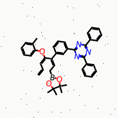 C=C/C=C(Oc1ccccc1C)\C(=C/CB1OC(C)(C)C(C)(C)O1)c1cccc(-c2nc(-c3ccccc3)nc(-c3ccccc3)n2)c1